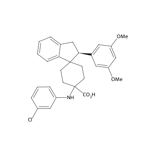 COc1cc(OC)cc([C@@H]2Cc3ccccc3C23CCC(Nc2cccc(Cl)c2)(C(=O)O)CC3)c1